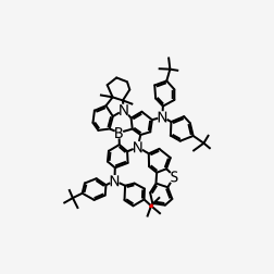 CC(C)(C)c1ccc(N(c2ccc(C(C)(C)C)cc2)c2ccc3c(c2)N(c2ccc4sc5ccccc5c4c2)c2cc(N(c4ccc(C(C)(C)C)cc4)c4ccc(C(C)(C)C)cc4)cc4c2B3c2cccc3c2N4C2(C)CCCCC32C)cc1